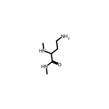 CNC(=O)C(CCN)NC